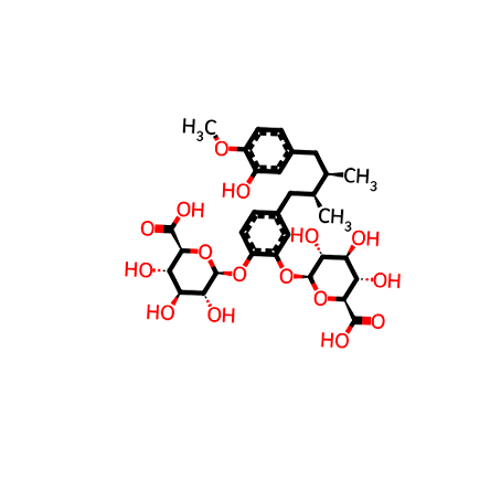 COc1ccc(C[C@@H](C)[C@@H](C)Cc2ccc(O[C@@H]3O[C@H](C(=O)O)[C@@H](O)[C@H](O)[C@H]3O)c(O[C@@H]3O[C@H](C(=O)O)[C@@H](O)[C@H](O)[C@H]3O)c2)cc1O